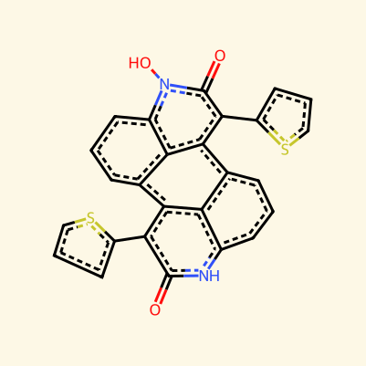 O=c1[nH]c2cccc3c4c(-c5cccs5)c(=O)n(O)c5cccc(c(c1-c1cccs1)c23)c45